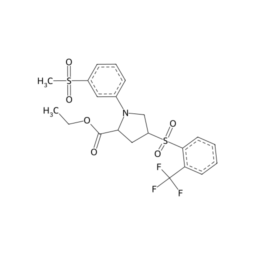 CCOC(=O)C1CC(S(=O)(=O)c2ccccc2C(F)(F)F)CN1c1cccc(S(C)(=O)=O)c1